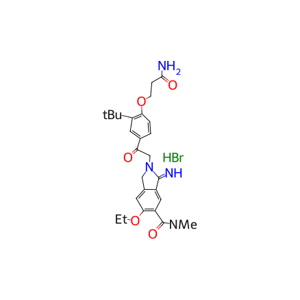 Br.CCOc1cc2c(cc1C(=O)NC)C(=N)N(CC(=O)c1ccc(OCCC(N)=O)c(C(C)(C)C)c1)C2